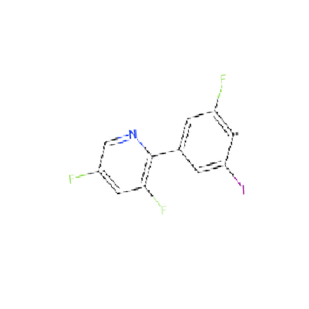 Fc1[c]c(I)cc(-c2ncc(F)cc2F)c1